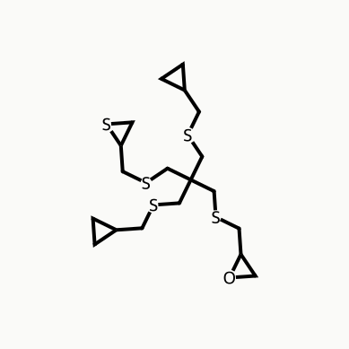 C1CC1CSCC(CSCC1CC1)(CSCC1CO1)CSCC1CS1